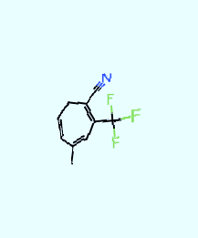 CC1=CC(C(F)(F)F)=C(C#N)CC=C1